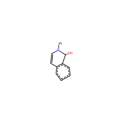 CC(C)N1C=Cc2ccccc2C1O